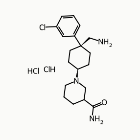 Cl.Cl.NC[C@]1(c2cccc(Cl)c2)CC[C@H](N2CCCC(C(N)=O)C2)CC1